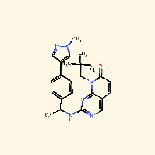 CC(Nc1ncc2ccc(=O)n(CC(C)(C)C)c2n1)c1ccc(-c2cnn(C)c2)cc1